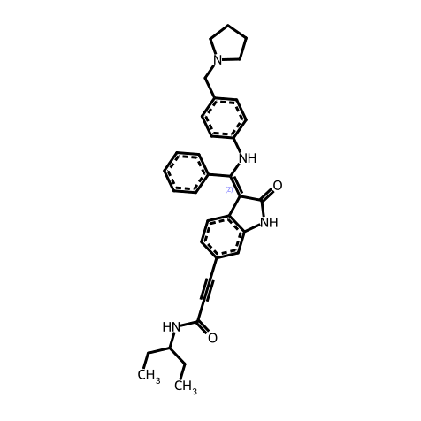 CCC(CC)NC(=O)C#Cc1ccc2c(c1)NC(=O)/C2=C(\Nc1ccc(CN2CCCC2)cc1)c1ccccc1